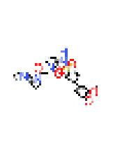 COc1ccc(-c2ccc(S(=O)(=O)N[C@H]3CCCN(CC(=O)N4CCC[C@H]4CN4CCCC4)C3=O)cc2)cc1OC